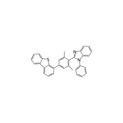 Cc1cc(-c2cccc3c2sc2ccccc23)cc(C)c1-c1nc2ccccc2n1-c1ccccc1